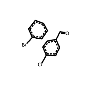 Brc1ccccc1.O=Cc1ccc(Cl)cc1